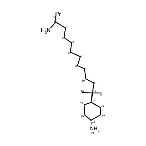 CC(C)C(N)CCCCCCCCCC(C)(C)[C@H]1CC[C@H](N)CC1